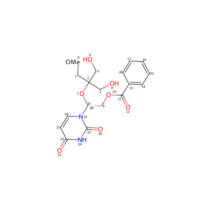 COCC(CO)(CO)O[C@H](COC(=O)c1ccccc1)n1ccc(=O)[nH]c1=O